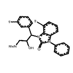 CNCC(O)C(c1cccc(F)c1)n1c(=O)n(-c2ccccc2)c2cccc(F)c21